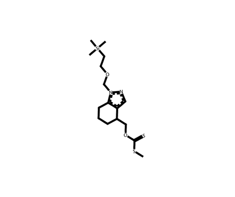 CSC(=S)OCC1CCCc2c1cnn2COCC[Si](C)(C)C